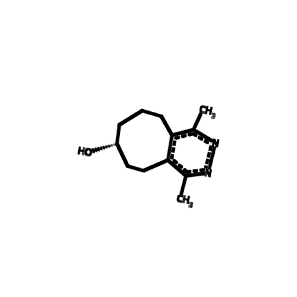 Cc1nnc(C)c2c1CCC[C@@H](O)CC2